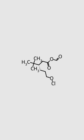 CC(C)(C)[C@@H](CCCOCl)CC(=O)OC=O